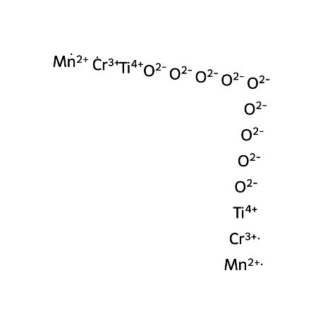 [Cr+3].[Cr+3].[Mn+2].[Mn+2].[O-2].[O-2].[O-2].[O-2].[O-2].[O-2].[O-2].[O-2].[O-2].[Ti+4].[Ti+4]